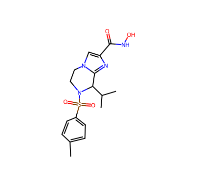 Cc1ccc(S(=O)(=O)N2CCn3cc(C(=O)NO)nc3C2C(C)C)cc1